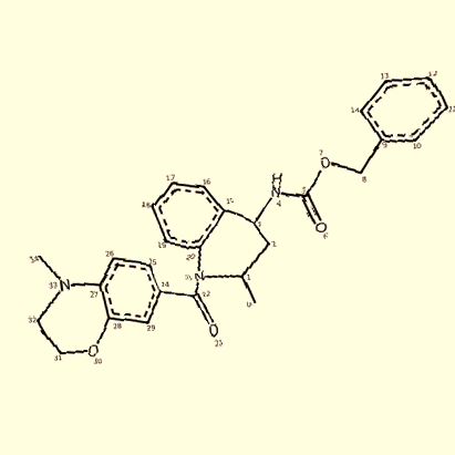 CC1CC(NC(=O)OCc2ccccc2)c2ccccc2N1C(=O)c1ccc2c(c1)OCCN2C